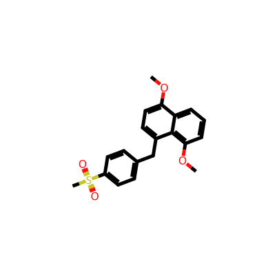 COc1ccc(Cc2ccc(S(C)(=O)=O)cc2)c2c(OC)cccc12